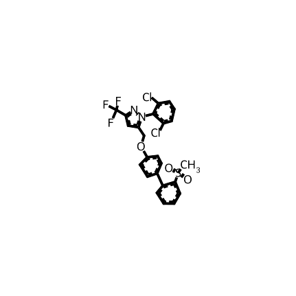 CS(=O)(=O)c1ccccc1-c1ccc(OCc2cc(C(F)(F)F)nn2-c2c(Cl)cccc2Cl)cc1